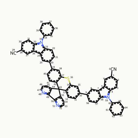 N#Cc1ccc2c(c1)c1cc(-c3ccc4c(c3)Sc3cc(-c5ccc6c(c5)c5cc(C#N)ccc5n6-c5ccccc5)ccc3C43c4cccnc4-c4ncccc43)ccc1n2-c1ccccc1